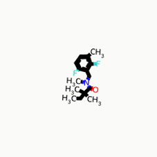 CCC(C)(C)C(=O)N(C)Cc1c(F)ccc(C)c1F